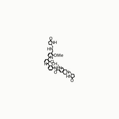 COc1nc(-c2ccnc(-c3cccc(NC(=O)c4cc5c(cn4)CN(C[C@H]4CCC(=O)N4)CC5)c3C)c2Cl)ccc1CNC[C@H]1CCC(=O)N1